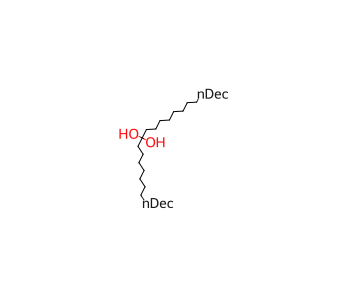 CCCCCCCCCCCCCCCCCCC(O)(O)CCCCCCCCCCCCCCCCC